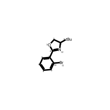 CC(C)(C)C1COC(c2ccccc2Br)=N1